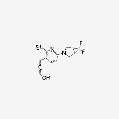 CCc1nc(N2CC3C(C2)C3(F)F)ccc1C=C=CO